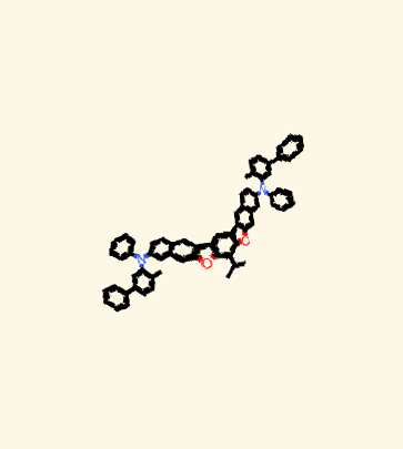 Cc1ccc(-c2ccccc2)cc1N(c1ccccc1)c1ccc2cc3c(cc2c1)oc1c(C(C)C)c2oc4cc5cc(N(c6ccccc6)c6cc(-c7ccccc7)ccc6C)ccc5cc4c2cc13